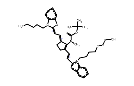 CCCCCN1/C(=C/C=C2\CCC(/C=C/c3oc4ccccc4[n+]3CCCCSOOO)=C2N(C)C(=O)OC(C)(C)C)Oc2ccccc21